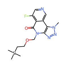 Cn1nnc2c1c1cncc(F)c1c(=O)n2COCC[Si](C)(C)C